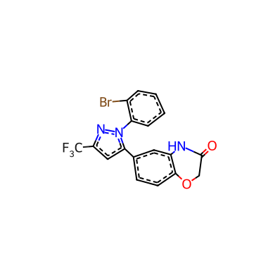 O=C1COc2ccc(-c3cc(C(F)(F)F)nn3-c3ccccc3Br)cc2N1